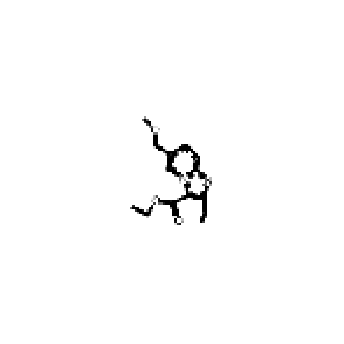 CCOC(=O)c1c(CC)nc2ccc(COC)cn12